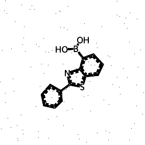 OB(O)c1cccc2sc(-c3ccccc3)nc12